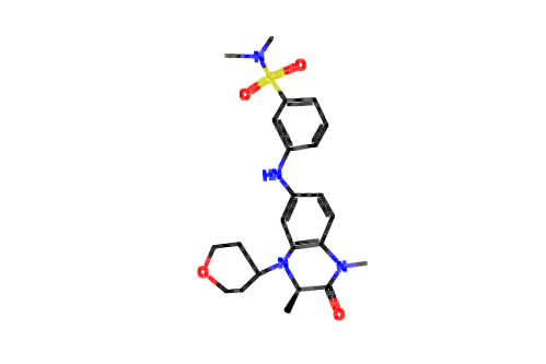 C[C@@H]1C(=O)N(C)c2ccc(Nc3cccc(S(=O)(=O)N(C)C)c3)cc2N1C1CCOCC1